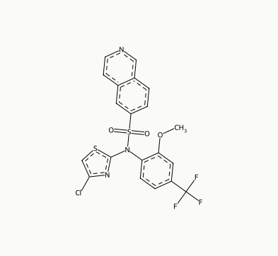 COc1cc(C(F)(F)F)ccc1N(c1nc(Cl)cs1)S(=O)(=O)c1ccc2cnccc2c1